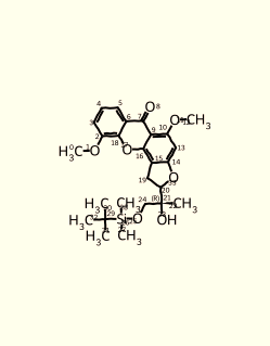 COc1cccc2c(=O)c3c(OC)cc4c(c3oc12)CC([C@](C)(O)CO[Si](C)(C)C(C)(C)C)O4